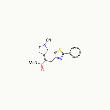 CNC(=O)C(Cc1csc(-c2ccccc2)n1)=C1CCN(C#N)C1